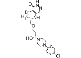 C[C@@H](COCCC(O)N1CCN(c2ncc(Cl)cn2)CC1)Nc1cn[nH]c(=O)c1Br